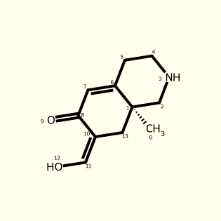 C[C@@]12CNCCC1=CC(=O)/C(=C\O)C2